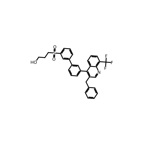 O=S(=O)(CCCO)c1cccc(-c2cccc(-c3c(Cc4ccccc4)cnc4c(C(F)(F)F)cccc34)c2)c1